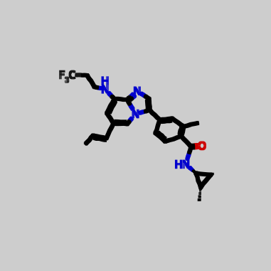 C/C=C/c1cc(NCCC(F)(F)F)c2ncc(-c3ccc(C(=O)N[C@H]4C[C@@H]4C)c(C)c3)n2c1